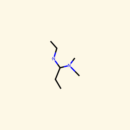 CC[N]C(CC)N(C)C